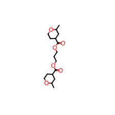 CC1CC(C(=O)OCCCOC(=O)C2CCOC(C)C2)CCO1